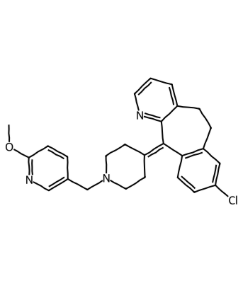 COc1ccc(CN2CCC(=C3c4ccc(Cl)cc4CCc4cccnc43)CC2)cn1